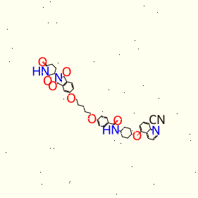 N#Cc1ccc(O[C@H]2CC[C@H](NC(=O)c3ccc(OCCCCCOc4ccc5c(c4)C(=O)N(C4CCC(=O)NC4=O)C5=O)cc3)CC2)c2cccnc12